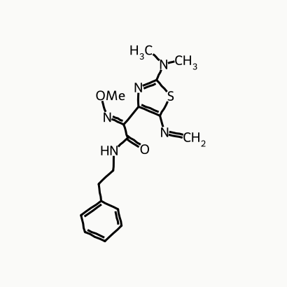 C=Nc1sc(N(C)C)nc1C(=NOC)C(=O)NCCc1ccccc1